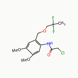 COc1cc(COCC(C)(F)F)c(NC(=O)CCl)cc1OC